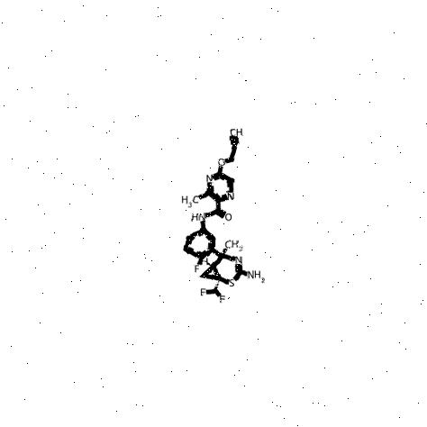 C#CCOc1cnc(C(=O)Nc2ccc(F)c([C@]3(C)N=C(N)S[C@@]4(C(F)F)C[C@@H]34)c2)c(C)n1